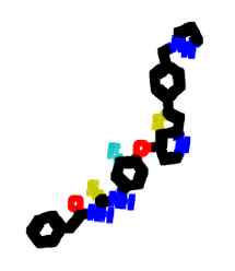 O=C(Cc1ccccc1)NC(=S)Nc1ccc(Oc2ccnc3cc(-c4ccc(Cn5cccn5)cc4)sc23)c(F)c1